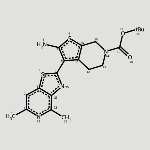 Cc1cc2sc(-c3c(N)sc4c3CCN(C(=O)OC(C)(C)C)C4)nc2c(C)n1